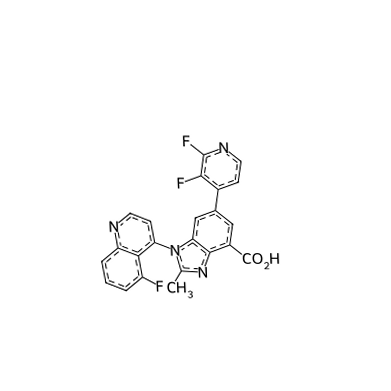 Cc1nc2c(C(=O)O)cc(-c3ccnc(F)c3F)cc2n1-c1ccnc2cccc(F)c12